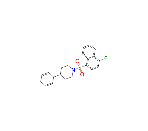 O=S(=O)(c1ccc(F)c2ccccc12)N1CCC(C2C=CCC=C2)CC1